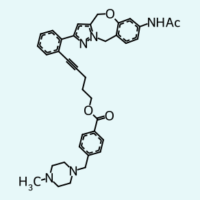 CC(=O)Nc1ccc2c(c1)OCc1cc(-c3ccccc3C#CCCCOC(=O)c3ccc(CN4CCN(C)CC4)cc3)nn1C2